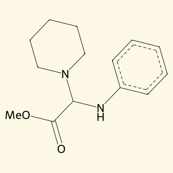 COC(=O)C(Nc1ccccc1)N1CCCCC1